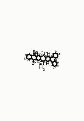 CC1(C)c2cc3c(Br)c4ccccc4c(Br)c3cc2C(C)(C)c2cc3c4ccccc4c4ccccc4c3cc21